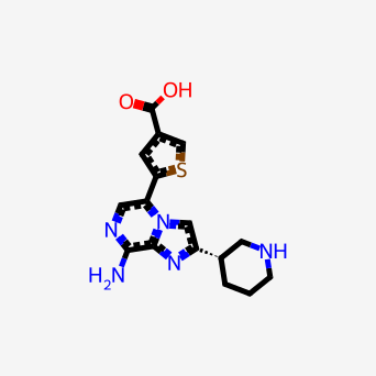 Nc1ncc(-c2cc(C(=O)O)cs2)n2cc([C@H]3CCCNC3)nc12